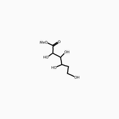 COC(=O)C(O)C(O)C(O)CCO